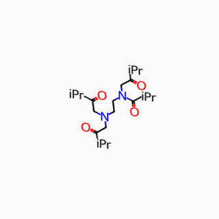 CC(C)C(=O)CN(CCN(CC(=O)C(C)C)C(=O)C(C)C)CC(=O)C(C)C